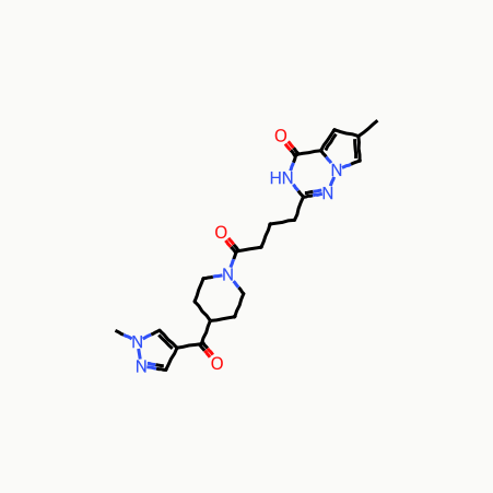 Cc1cc2c(=O)[nH]c(CCCC(=O)N3CCC(C(=O)c4cnn(C)c4)CC3)nn2c1